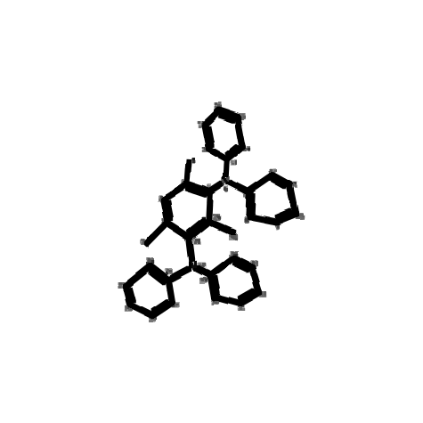 Cc1cc(C)c(N(c2ccccc2)c2ccccc2)c(C)c1N(c1ccccc1)c1ccccc1